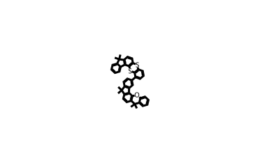 CC1(C)c2ccccc2Oc2c1ccc1c2-c2cc(-c3cccc4c3Sc3c(ccc5c3-c3ccccc3C5(C)C)S4)ccc2C1(C)C